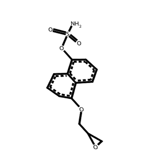 NS(=O)(=O)Oc1cccc2c(OCC3CO3)cccc12